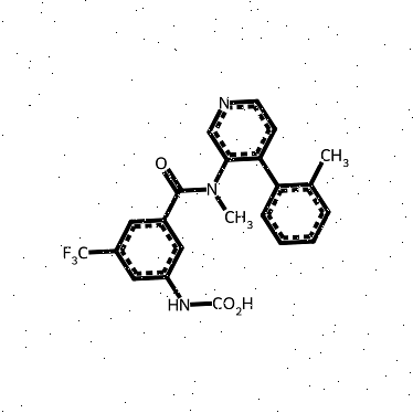 Cc1ccccc1-c1ccncc1N(C)C(=O)c1cc(NC(=O)O)cc(C(F)(F)F)c1